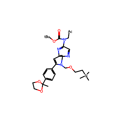 CC(=O)CN(C(=O)OC(C)(C)C)c1cnc2c(cc(-c3ccc(C4(C)OCCO4)cc3)n2COCC[Si](C)(C)C)n1